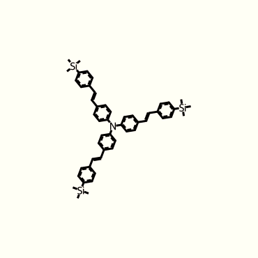 C[Si](C)(C)c1ccc(/C=C/c2ccc(N(c3ccc(/C=C/c4ccc([Si](C)(C)C)cc4)cc3)c3ccc(/C=C/c4ccc([Si](C)(C)C)cc4)cc3)cc2)cc1